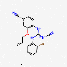 C=CCOc1cc(C#N)ccc1N/C(=N\C#N)Nc1ccccc1Br